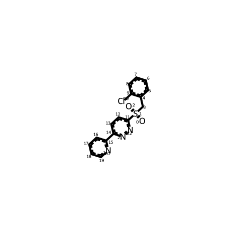 O=S(=O)(Cc1ccccc1Cl)c1ccc(-c2ccccn2)nn1